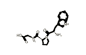 N[C@@H](Cc1c[nH]c2ccccc12)C(=O)N1CCC[C@H]1C(=O)NCC(=O)O